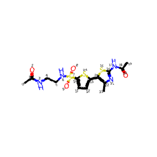 CC(=O)NCCNS(=O)(=O)c1ccc(-c2sc(NC(C)=O)nc2C)s1